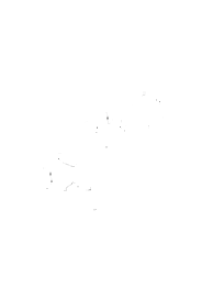 CN1CCC(NC(=O)C(C)(C)COc2ncccc2C(F)F)CC1